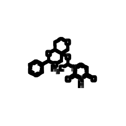 CC(OC12COCCC1OC(c1ccccc1)OC2)n1ccc(=O)[nH]c1=O